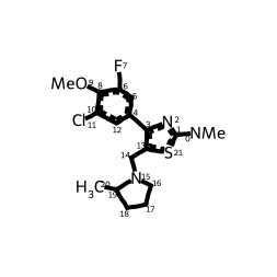 CNc1nc(-c2cc(F)c(OC)c(Cl)c2)c(CN2CCCC2C)s1